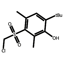 Cc1cc(C(C)(C)C)c(O)c(C)c1S(=O)(=O)CCl